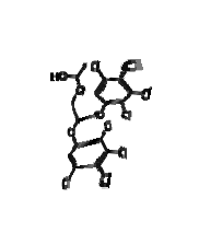 CC(O)OCC(Oc1cc(Cl)c(Cl)c(Cl)c1Cl)Oc1cc(Cl)c(Cl)c(Cl)c1Cl